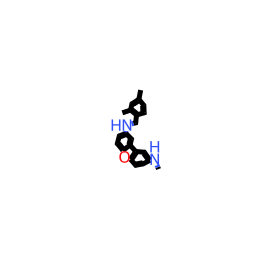 CNc1ccc2oc3ccc(NCc4ccc(C)cc4C)cc3c2c1